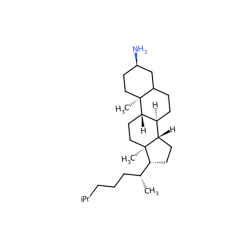 CC(C)CCC[C@@H](C)[C@H]1CC[C@H]2[C@@H]3CCC4C[C@H](N)CC[C@]4(C)[C@H]3CC[C@]12C